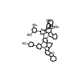 CC(C)(C)c1cc(-c2nc(-c3cc(C(C)(C)C)cc(C(C)(C)C)c3)nc(-c3cc(-c4cc(-c5ccc(C#N)cc5)ccc4-n4c5ccccc5c5c6oc7ccccc7c6ccc54)ccc3-n3c4ccccc4c4c5oc6ccccc6c5ccc43)n2)cc(C(C)(C)C)c1